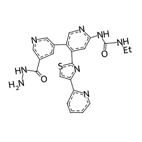 CCNC(=O)Nc1cc(-c2nc(-c3ccccn3)cs2)c(-c2cncc(C(=O)NN)c2)cn1